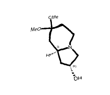 COC1(OC)CCN2C[C@H](O)C[C@H]2C1